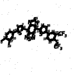 Cc1ccc(-c2ccc(-c3c4c(c(-c5ccc(-c6ccc(SC(F)(F)F)c(C(F)(F)F)c6)s5)c5nsnc35)N=S=N4)s2)cc1C